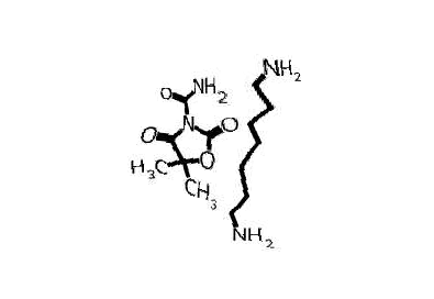 CC1(C)OC(=O)N(C(N)=O)C1=O.NCCCCCCCN